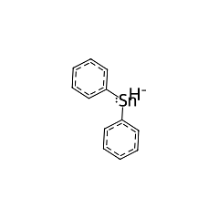 [H-].c1cc[c]([Sn][c]2ccccc2)cc1